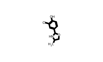 CC1COC(c2ccc(O)c(Cl)c2)N1